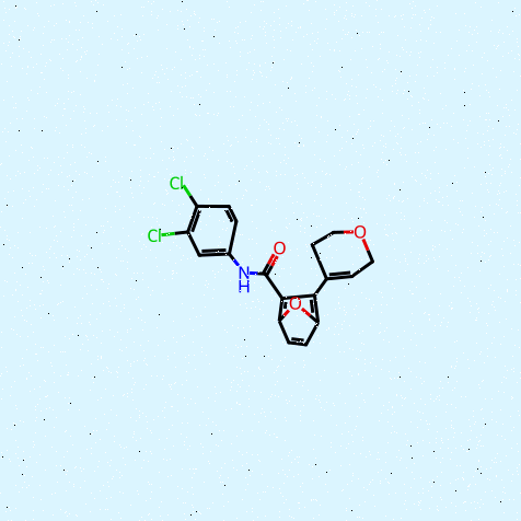 O=C(Nc1ccc(Cl)c(Cl)c1)c1c(C2=CCOCC2)c2ccc1o2